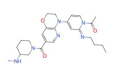 CCCC/N=c1/cc(N2CCOc3cc(C(=O)N4CCCC(NC)C4)cnc32)ccn1C(C)=O